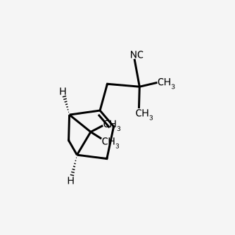 [C-]#[N+]C(C)(C)CC1=CC[C@H]2C[C@@H]1C2(C)C